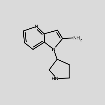 Nc1cc2ncccc2n1C1CCNC1